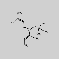 CC=C(C)[C@@H](CC=C(C)C=O)O[Si](C)(C)C(C)(C)C